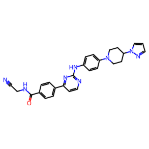 N#CCNC(=O)c1ccc(-c2ccnc(Nc3ccc(N4CCC(n5cccn5)CC4)cc3)n2)cc1